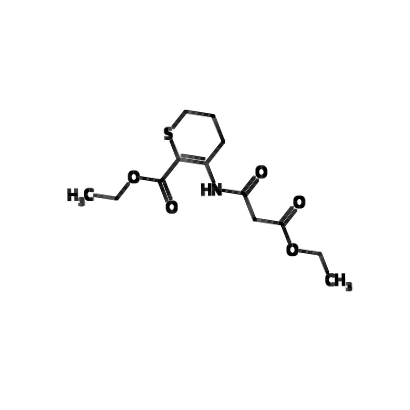 CCOC(=O)CC(=O)NC1=C(C(=O)OCC)SCCC1